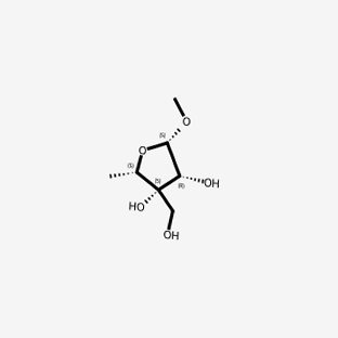 CO[C@H]1O[C@@H](C)[C@](O)(CO)[C@H]1O